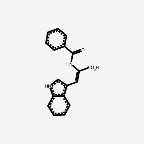 O=C(O)C(=Cc1c[nH]c2ccccc12)NC(=O)c1ccccc1